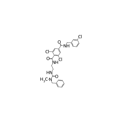 CN(Cc1ccccc1)C(=O)NCCNC(=O)c1c(Cl)cc(C(=O)NCc2cccc(Cl)c2)cc1Cl